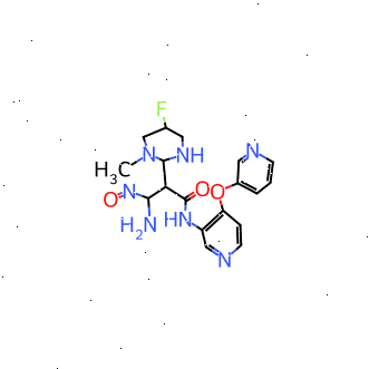 CN1CC(F)CNC1C(C(=O)Nc1cnccc1Oc1cccnc1)C(N)N=O